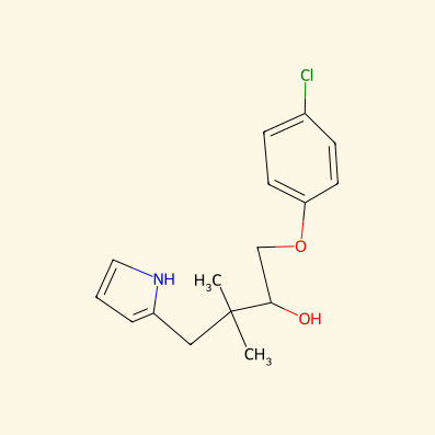 CC(C)(Cc1ccc[nH]1)C(O)COc1ccc(Cl)cc1